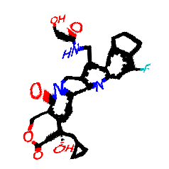 O=C(CO)NCc1c2c(nc3cc(F)c4c(c13)CCC4)-c1cc3c(c(=O)n1C2)COC(=O)[C@]3(O)CC1CC1